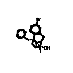 O=C1C2Cc3cc(Br)ccc3[C@]1(Cc1ccccc1)CC[C@]2(O)I